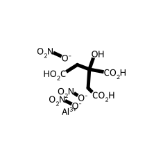 O=C(O)CC(O)(CC(=O)O)C(=O)O.O=[N+]([O-])[O-].O=[N+]([O-])[O-].O=[N+]([O-])[O-].[Al+3]